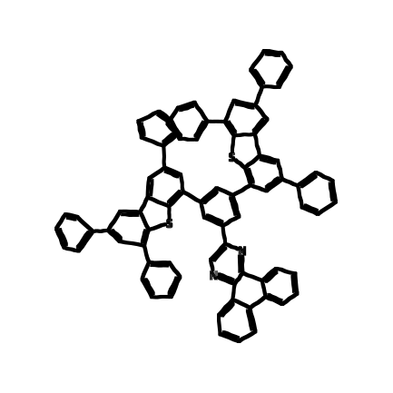 c1ccc(-c2cc(-c3ccccc3)c3sc4c(-c5cc(-c6cnc7c8ccccc8c8ccccc8c7n6)cc(-c6cc(-c7ccccc7)cc7c6sc6c(-c8ccccc8)cc(-c8ccccc8)cc67)c5)cc(-c5ccccc5)cc4c3c2)cc1